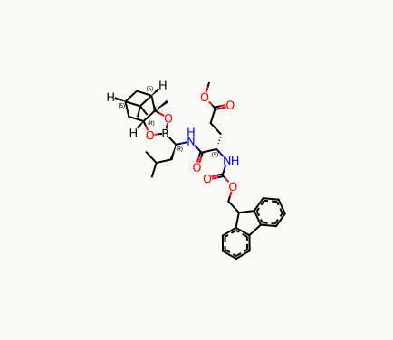 COC(=O)CC[C@H](NC(=O)OCC1c2ccccc2-c2ccccc21)C(=O)N[C@@H](CC(C)C)B1O[C@@H]2C[C@@H]3C[C@@H](C3(C)C)[C@]2(C)O1